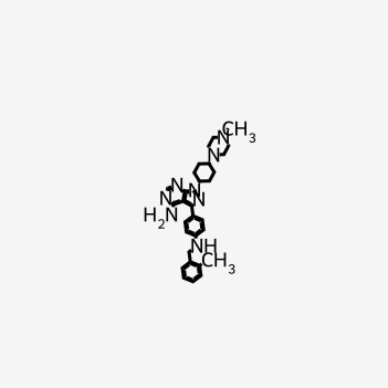 Cc1ccccc1CNc1ccc(-c2nn(C3CCC(N4CCN(C)CC4)CC3)c3ncnc(N)c23)cc1